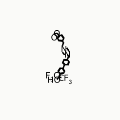 OC(c1ccc(-c2ccc(CN3CCN(CCc4ccc5c(c4)OCO5)CC3)cc2)cc1)(C(F)(F)F)C(F)(F)F